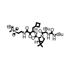 CN(C(C)(C)C)S(=O)(=O)CCNC(=O)C(=O)C(CC1CCC1)NC(=O)[C@@H]1[C@@H]2C(CN1C(=O)[C@@H](NC(=O)NC(C)(C)C)C(C)(C)C)C2(C)C